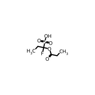 CCC(=O)OC(F)(CC)S(=O)(=O)O